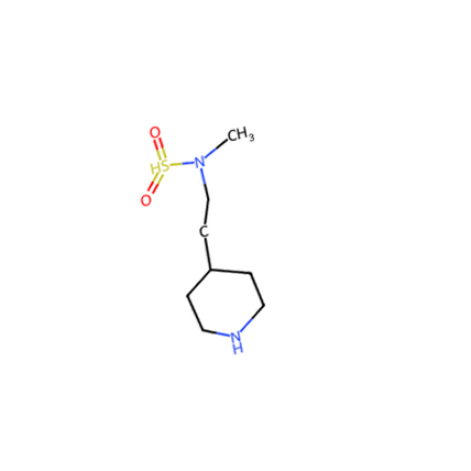 CN(CCC1CCNCC1)[SH](=O)=O